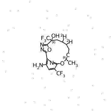 [2H]C1CC[C@@H](C)Oc2nc(c(N)cc2C(F)(F)F)-c2nnc(o2)[C@@](O)(C(F)(F)F)CC1[2H]